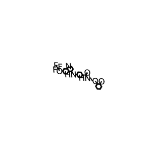 COc1ccccc1OCCNC(=O)c1ccc(Nc2ccnc3cc(OC(F)(F)F)ccc23)cc1